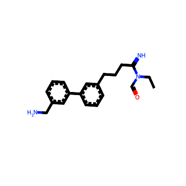 CCN(C=O)C(=N)CCCc1cccc(-c2cccc(CN)c2)c1